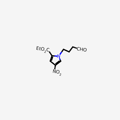 CCOC(=O)c1cc([N+](=O)[O-])cn1CCCC=O